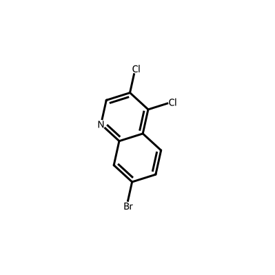 Clc1cnc2cc(Br)ccc2c1Cl